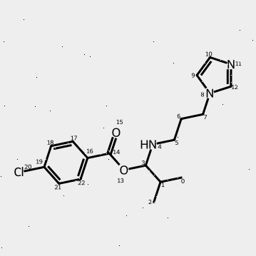 CC(C)C(NCCCn1ccnc1)OC(=O)c1ccc(Cl)cc1